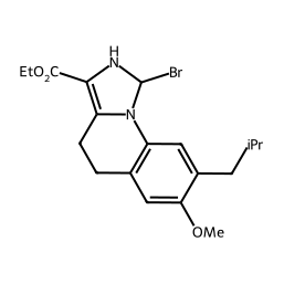 CCOC(=O)C1=C2CCc3cc(OC)c(CC(C)C)cc3N2C(Br)N1